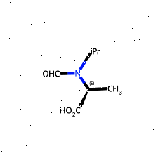 CC(C)N(C=O)[C@@H](C)C(=O)O